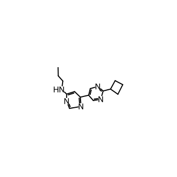 CCCNc1cc(-c2cnc(C3CCC3)nc2)ncn1